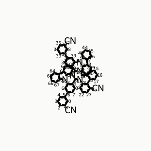 N#Cc1cccc(-c2ccc(-c3nc(-c4ccccc4-c4ccccc4C#N)nc(-c4ccc(-c5cccc(C#N)c5)cc4-n4c5ccccc5c5ccccc54)n3)c(-n3c4ccccc4c4ccccc43)c2)c1